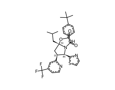 CC(C)C[C@]1(OC(=O)O)C[C@H](c2cc(C(F)(F)F)ccn2)[C@H](c2nccs2)N1C(=O)c1ccc(C(C)(C)C)cc1